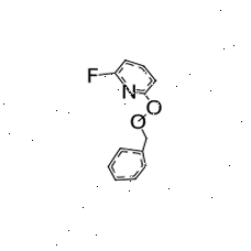 Fc1cccc(OOCc2ccccc2)n1